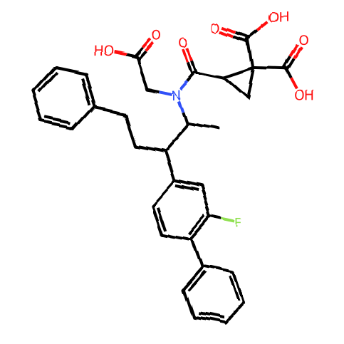 CC(C(CCc1ccccc1)c1ccc(-c2ccccc2)c(F)c1)N(CC(=O)O)C(=O)C1CC1(C(=O)O)C(=O)O